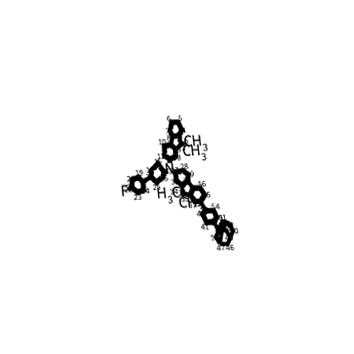 CC1(C)c2ccccc2-c2ccc(N(c3ccc(-c4ccc(F)cc4)cc3)c3ccc4c(c3)C(C)(C)c3cc(-c5ccc(C67CC8CC(CC(C8)C6)C7)cc5)ccc3-4)cc21